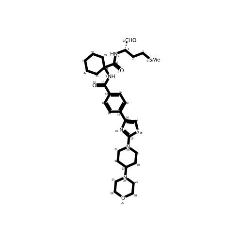 CSCC[C@@H](C=O)NC(=O)C1(NC(=O)c2ccc(-c3csc(N4CCC(N5CCOCC5)CC4)n3)cc2)CCCCC1